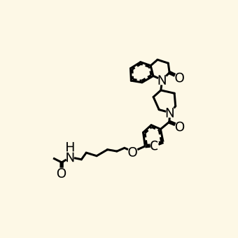 CC(=O)NCCCCCCOc1ccc(C(=O)N2CCC(N3C(=O)CCc4ccccc43)CC2)cc1